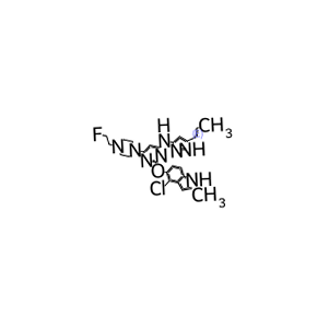 C/C=C/c1cc(Nc2cc(N3CCN(CCF)CC3)nc(Oc3ccc4[nH]c(C)cc4c3Cl)n2)n[nH]1